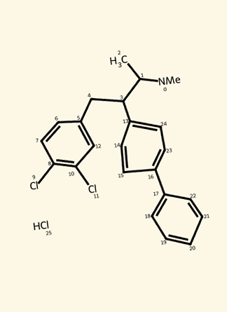 CNC(C)C(Cc1ccc(Cl)c(Cl)c1)c1ccc(-c2ccccc2)cc1.Cl